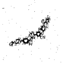 N#Cc1cc(-c2ncnc(Nc3ccc(N4CCN(C5COC5)CC4)cc3)n2)ccc1OC1CCN(C(=O)C2CC(F)(F)CN2)CC1F